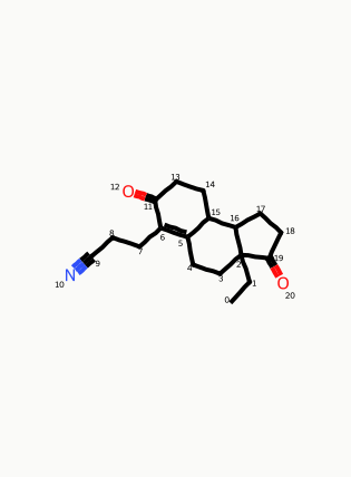 CCC12CCC3=C(CCC#N)C(=O)CCC3C1CCC2=O